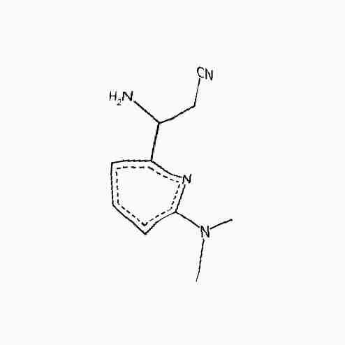 CN(C)c1cccc(C(N)CC#N)n1